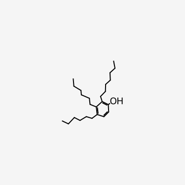 CCCCCCCc1c(O)ccc(CCCCCC)c1CCCCCC